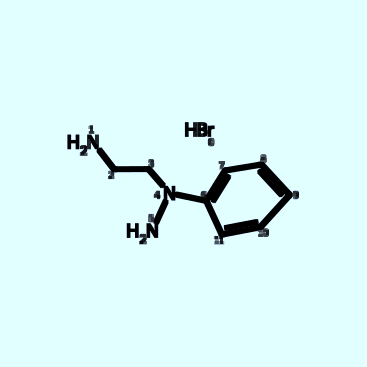 Br.NCCN(N)c1ccccc1